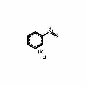 Cl.Cl.S=[PH2]c1ccccc1